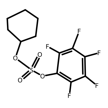 O=S(=O)(Oc1c(F)c(F)c(F)c(F)c1F)OC1CCCCC1